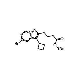 CC(C)(C)OC(=O)CCCc1nn2ccc(Br)cc2c1C1CCC1